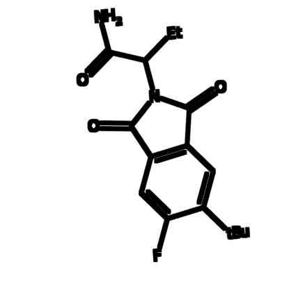 CCC(C(N)=O)N1C(=O)c2cc(F)c(C(C)(C)C)cc2C1=O